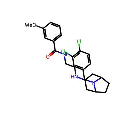 COc1cccc(C(=O)NCCNC2CC3CCC(C2)N3Cc2ccc(Cl)c(Cl)c2)c1